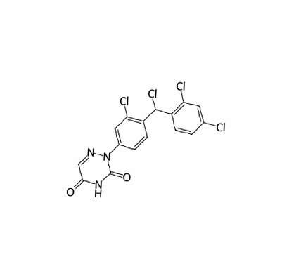 O=c1cnn(-c2ccc(C(Cl)c3ccc(Cl)cc3Cl)c(Cl)c2)c(=O)[nH]1